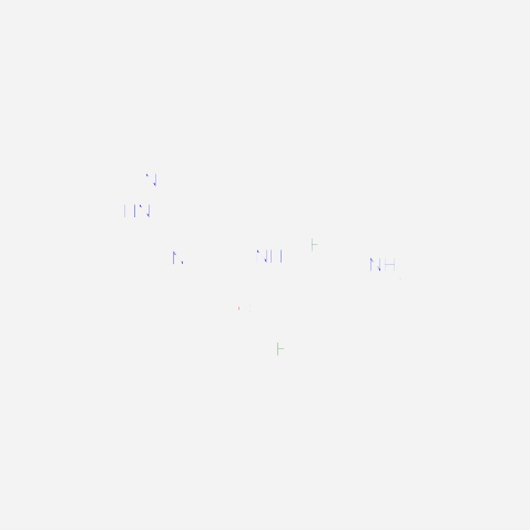 Nc1ccc(F)c(C(=O)Nc2cnc3[nH]ncc3c2)c1F